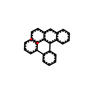 c1ccc(-c2ccccc2-c2c3ccccc3cc3ccccc23)cc1